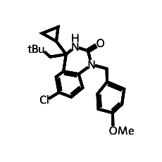 COc1ccc(CN2C(=O)NC(CC(C)(C)C)(C3CC3)c3cc(Cl)ccc32)cc1